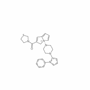 O=C(C1=CC2=CC=C[N@@+]2(N2CCN(c3cccn3-c3ccccc3)CC2)C1)N1CCSC1